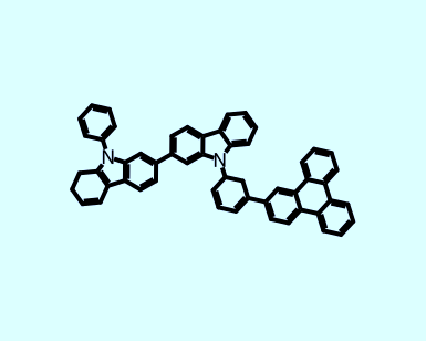 C1=CC(n2c3ccccc3c3ccc(-c4ccc5c6c(n(-c7ccccc7)c5c4)CCC=C6)cc32)CC(c2ccc3c4ccccc4c4ccccc4c3c2)=C1